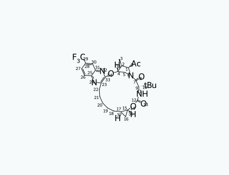 CC(=O)[C@@H]1[C@H](C)[C@@H]2CN1C(=O)[C@H](C(C)(C)C)NC(=O)O[C@@H]1C[C@H]1CCCCCc1nc3ccc(C(F)(F)F)cc3nc1O2